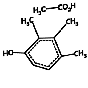 CC(=O)O.Cc1ccc(O)c(C)c1C